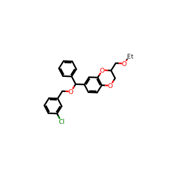 CCOCC1COc2ccc(C(OCc3cccc(Cl)c3)c3ccccc3)cc2O1